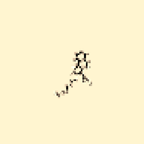 C=Cc1c(CCCCCC)ccc2c1ccc1ccccc12